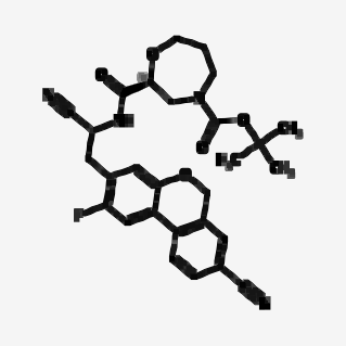 CC(C)(C)OC(=O)N1CCCO[C@H](C(=O)NC(C#N)Cc2cc3c(cc2F)-c2ccc(C#N)cc2CO3)C1